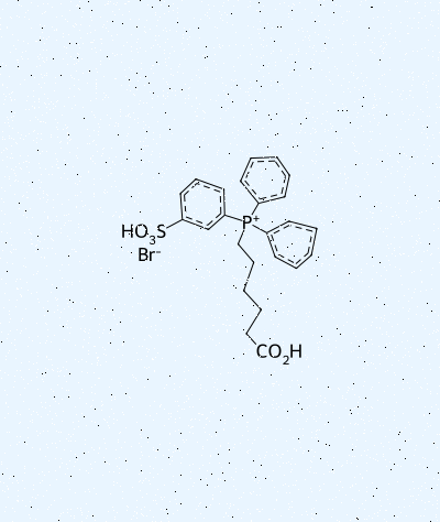 O=C(O)CCCCC[P+](c1ccccc1)(c1ccccc1)c1cccc(S(=O)(=O)O)c1.[Br-]